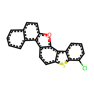 Clc1cccc2c1sc1ccc3c(oc4ccc5ccccc5c43)c12